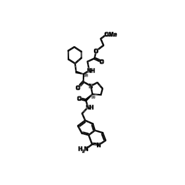 COCCOC(=O)CN[C@H](CC1CCCCC1)C(=O)N1CCC[C@H]1C(=O)NCc1ccc2c(N)nccc2c1